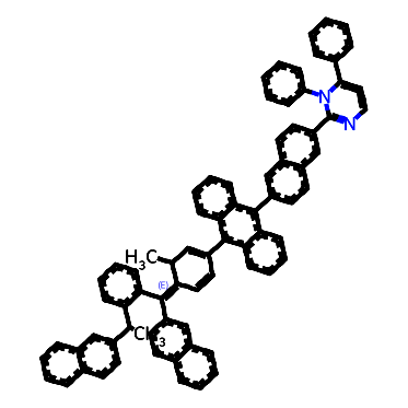 CC1C=C(c2c3ccccc3c(-c3ccc4cc(C5=NC=C=C(c6ccccc6)N5c5ccccc5)ccc4c3)c3ccccc23)C=C/C1=C(\c1ccc2ccccc2c1)c1ccccc1C(C)c1ccc2ccccc2c1